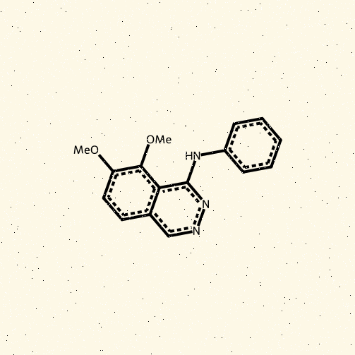 COc1ccc2cnnc(Nc3ccccc3)c2c1OC